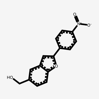 O=[N+]([O-])c1ccc(-c2cc3cc(CO)ccc3o2)cc1